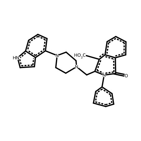 O=C(O)c1c(CN2CCN(c3cccc4[nH]ccc34)CC2)n(-c2ccccc2)c(=O)c2ccccc12